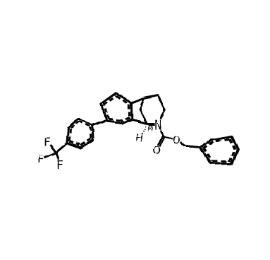 O=C(OCc1ccccc1)N1CCC2C[C@@H]1c1cc(-c3ccc(C(F)(F)F)cc3)ccc12